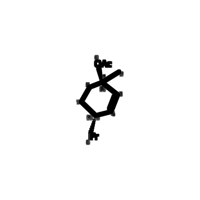 CC(=O)O[C@@]1(C)C=C[C@H](C(C)C)CC1